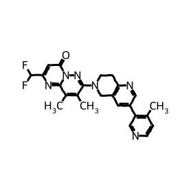 Cc1ccncc1-c1cnc2c(c1)CN(c1nn3c(=O)cc(C(F)F)nc3c(C)c1C)CC2